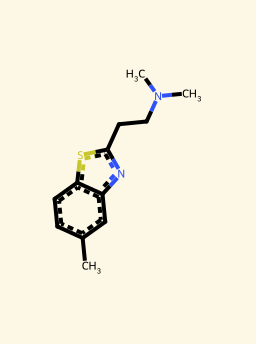 Cc1ccc2sc(CCN(C)C)nc2c1